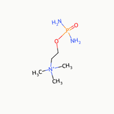 C[N+](C)(C)CCOP(N)(N)=O